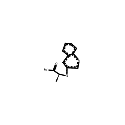 C[C@H](Oc1cnc2ccccc2c1)C(=O)O